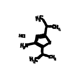 CC(C)c1cc(N)c(C(C)C)s1.Cl